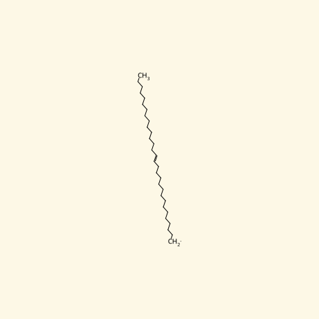 [CH2]CCCCCCCCCCCCC/C=C/CCCCCCCCCCCCCC